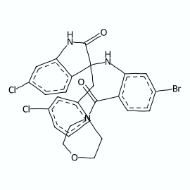 O=C(c1ccc(Br)cc1NC1(Cc2cccc(Cl)c2)C(=O)Nc2cc(Cl)ccc21)N1CCOCC1